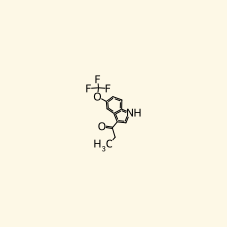 CCC(=O)c1c[nH]c2ccc(OC(F)(F)F)cc12